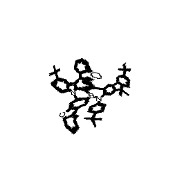 CC(C)(C)c1ccc(N2B3c4cc5c(cc4-n4c6ccc(C(C)(C)C)cc6c6c7c(oc8ccccc87)c(c3c64)-c3cc4c(cc32)C(C)(C)c2ccc(C(C)(C)C)cc2-4)oc2ccccc25)cc1